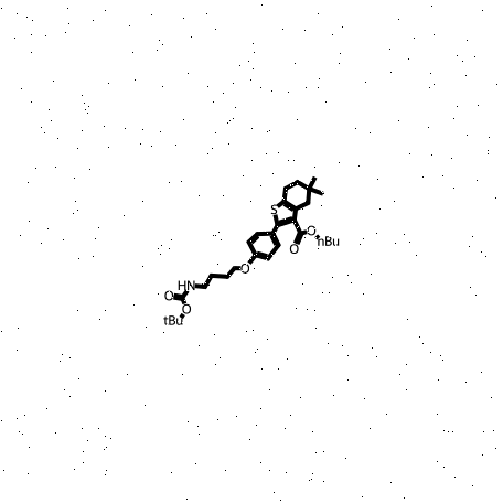 CCCCOC(=O)c1c(-c2ccc(OCCCCNC(=O)OC(C)(C)C)cc2)sc2c1CC(C)(C)CC2